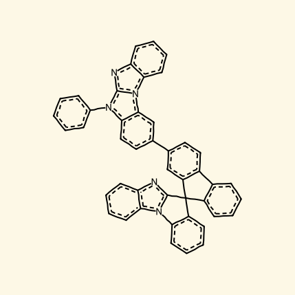 c1ccc(-n2c3ccc(-c4ccc5c(c4)C4(c6ccccc6-5)c5ccccc5-n5c4nc4ccccc45)cc3n3c4ccccc4nc23)cc1